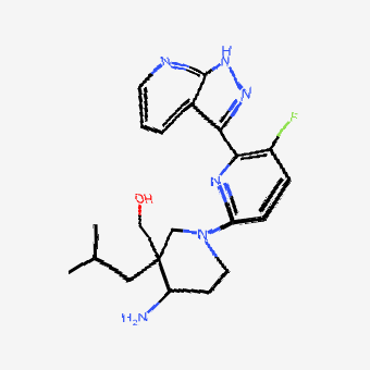 CC(C)CC1(CO)CN(c2ccc(F)c(-c3n[nH]c4ncccc34)n2)CCC1N